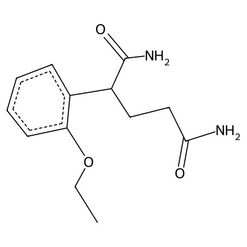 CCOc1ccccc1C(CCC(N)=O)C(N)=O